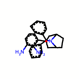 Nc1cccc(C2CC3CCC(C2)N3C(c2ccccc2)c2ccccc2)c1N